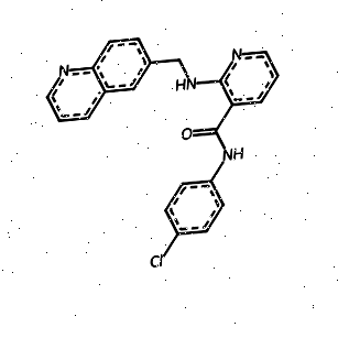 O=C(Nc1ccc(Cl)cc1)c1cccnc1NCc1ccc2ncccc2c1